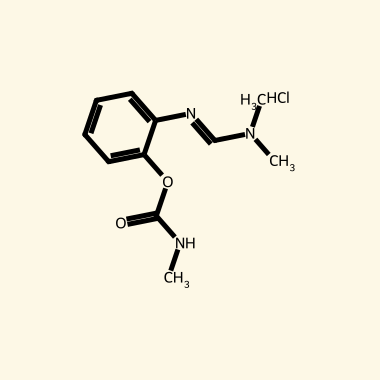 CNC(=O)Oc1ccccc1/N=C/N(C)C.Cl